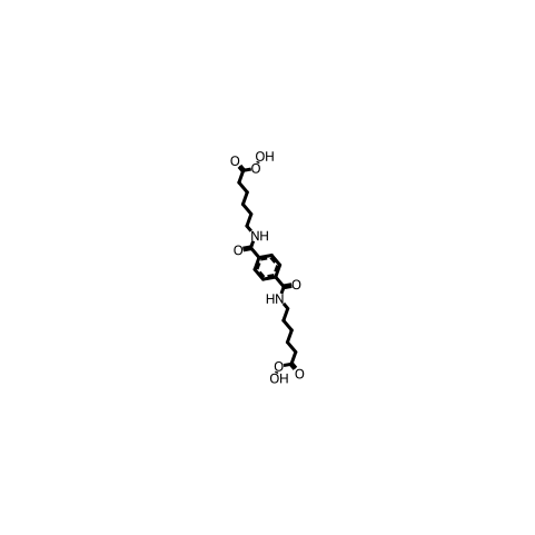 O=C(CCCCCNC(=O)c1ccc(C(=O)NCCCCCC(=O)OO)cc1)OO